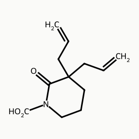 C=CCC1(CC=C)CCCN(C(=O)O)C1=O